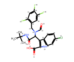 CC(C)(C)NC(=O)C(c1c(C(=O)O)[nH]c2cc(Cl)ccc12)N(C=O)Cc1cc(F)c(F)cc1F